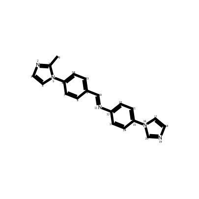 Cc1nccn1-c1ccc(/C=N/c2ccc(-n3ccnc3)cc2)cc1